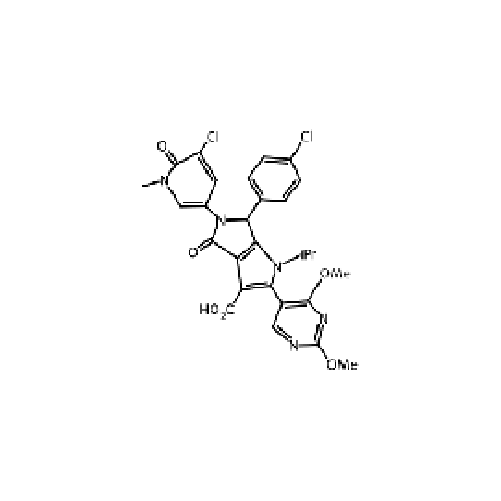 COc1ncc(-c2c(C(=O)O)c3c(n2C(C)C)C(c2ccc(Cl)cc2)N(c2cc(Cl)c(=O)n(C)c2)C3=O)c(OC)n1